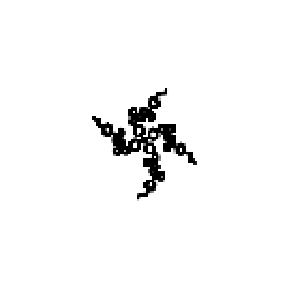 CCCc1ccc(C(=O)OOC(=O)OC2CCC(C(C3CCC(OC(=O)OOC(=O)c4ccc(CCC)cc4)CC3)(C3CCC(OC(=O)OOC(=O)c4ccc(CCC)cc4)CC3)C3CCC(OC(=O)OOC(=O)c4ccc(CCC)cc4)CC3)CC2)cc1